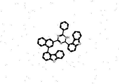 c1ccc(C2=NC(c3cc(-c4cccc5oc6ccccc6c45)c4ccccc4c3)=NC(c3cccc4oc5ccccc5c34)N2)cc1